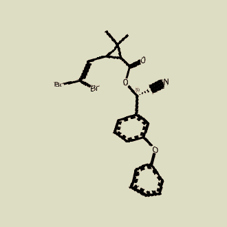 CC1(C)C(C=C(Br)Br)C1C(=O)O[C@H](C#N)c1cccc(Oc2ccccc2)c1